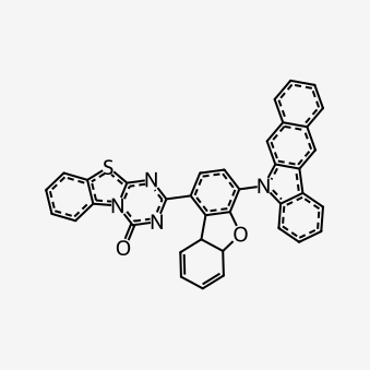 O=c1nc(-c2ccc(-n3c4ccccc4c4cc5ccccc5cc43)c3c2C2C=CC=CC2O3)nc2sc3ccccc3n12